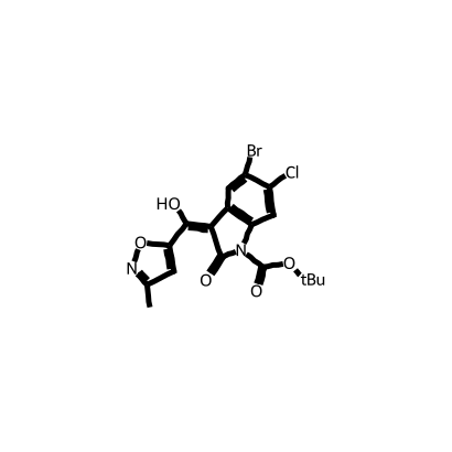 Cc1cc(C(O)=C2C(=O)N(C(=O)OC(C)(C)C)c3cc(Cl)c(Br)cc32)on1